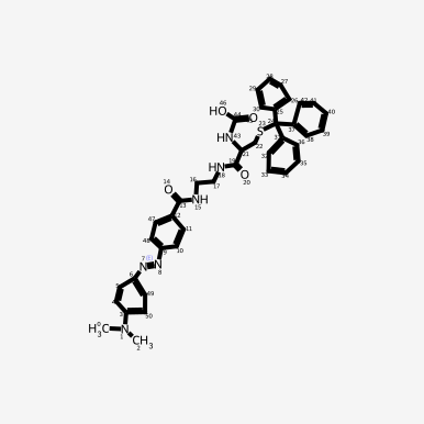 CN(C)c1ccc(/N=N/c2ccc(C(=O)NCCNC(=O)C(CSC(c3ccccc3)(c3ccccc3)c3ccccc3)NC(=O)O)cc2)cc1